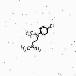 CCc1ccc(N(C)CCN(C)C)cc1